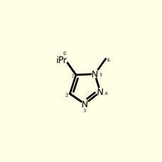 CC(C)c1cnnn1C